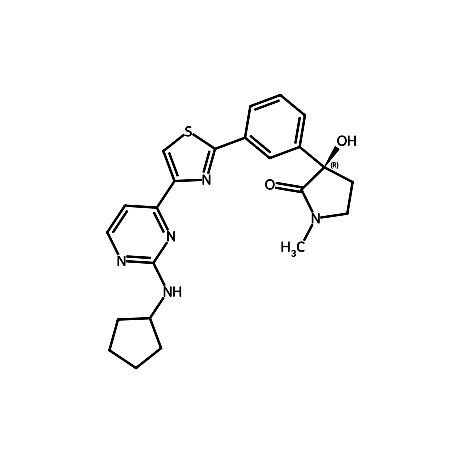 CN1CC[C@@](O)(c2cccc(-c3nc(-c4ccnc(NC5CCCC5)n4)cs3)c2)C1=O